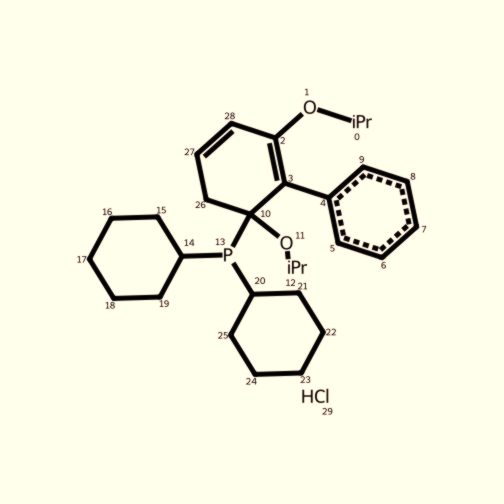 CC(C)OC1=C(c2ccccc2)C(OC(C)C)(P(C2CCCCC2)C2CCCCC2)CC=C1.Cl